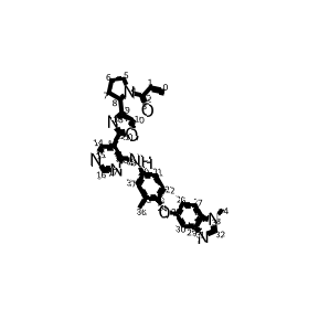 C=CC(=O)N1CCCC1c1coc(-c2cncnc2Nc2ccc(Oc3ccc4c(c3)ncn4C)c(C)c2)n1